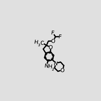 CC1(COC(F)F)Cc2cc(N)c(N3CCOCC3)cc2O1